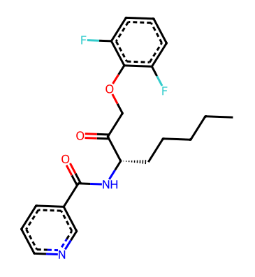 CCCCC[C@H](NC(=O)c1cccnc1)C(=O)COc1c(F)cccc1F